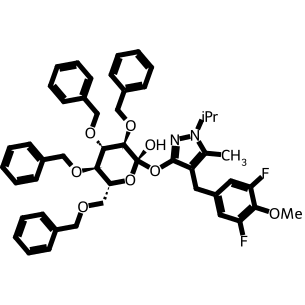 COc1c(F)cc(Cc2c(O[C@]3(O)O[C@H](COCc4ccccc4)[C@@H](OCc4ccccc4)[C@H](OCc4ccccc4)[C@H]3OCc3ccccc3)nn(C(C)C)c2C)cc1F